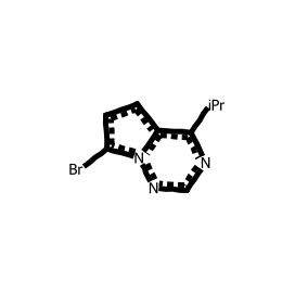 CC(C)c1ncnn2c(Br)ccc12